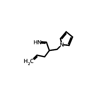 C=CCC(C=N)Cn1cccc1